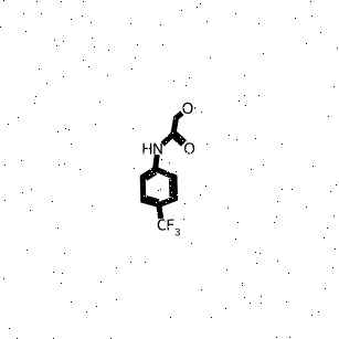 [O]CC(=O)Nc1ccc(C(F)(F)F)cc1